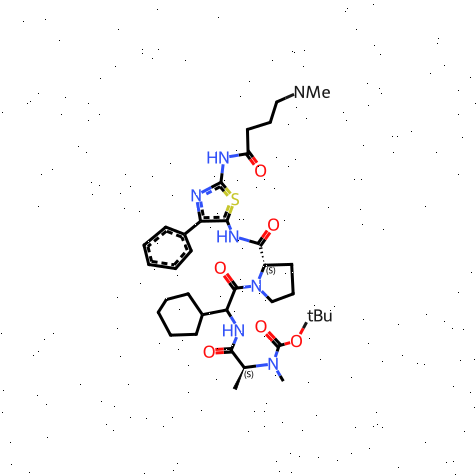 CNCCCC(=O)Nc1nc(-c2ccccc2)c(NC(=O)[C@@H]2CCCN2C(=O)C(NC(=O)[C@H](C)N(C)C(=O)OC(C)(C)C)C2CCCCC2)s1